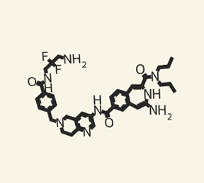 CCCN(CCC)C(=O)C1=Cc2ccc(C(=O)Nc3cnc4c(c3)CN(Cc3ccc(C(=O)NCC(F)(F)CN)cc3)CC4)cc2C=C(N)N1